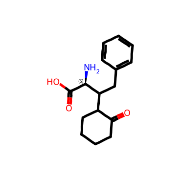 N[C@H](C(=O)O)C(Cc1ccccc1)C1CCCCC1=O